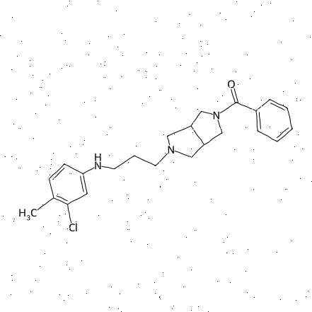 Cc1ccc(NCCCN2CC3CN(C(=O)c4ccccc4)CC3C2)cc1Cl